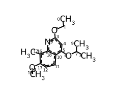 CCOc1cc(OC(C)C)c2ccc(OC)c(C)c2n1